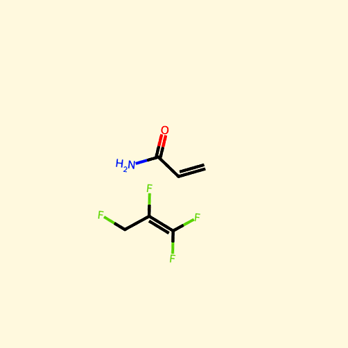 C=CC(N)=O.FCC(F)=C(F)F